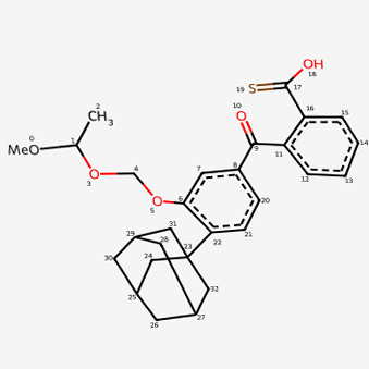 COC(C)OCOc1cc(C(=O)c2ccccc2C(O)=S)ccc1C12CC3CC(CC(C3)C1)C2